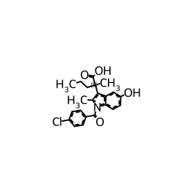 CCC[C@](C)(C(=O)O)c1c(C)n(C(=O)c2ccc(Cl)cc2)c2ccc(O)cc12